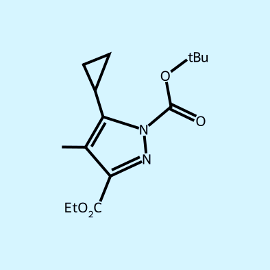 CCOC(=O)c1nn(C(=O)OC(C)(C)C)c(C2CC2)c1C